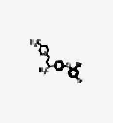 CC1CCN(CCC(C)c2ccc(Oc3ccc(Br)cc3Br)cc2)CC1